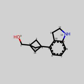 OCC12CC(c3cccc4c3CCN4)(C1)C2